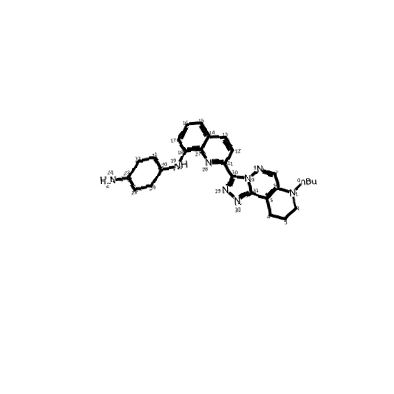 CCCCN1CCCc2c1cnn1c(-c3ccc4cccc(NC5CCC(N)CC5)c4n3)nnc21